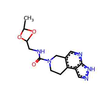 CC1OC(CNC(=O)N2CCc3c(cnc4[nH]ncc34)C2)O1